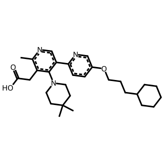 Cc1ncc(-c2ccc(OCCCC3CCCCC3)cn2)c(N2CCC(C)(C)CC2)c1CC(=O)O